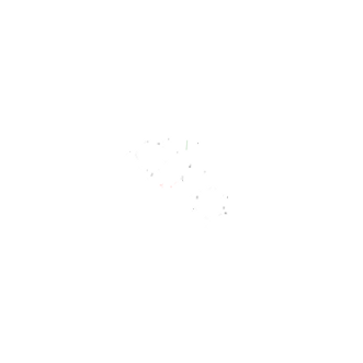 O=C(c1ccccc1)C(F)(CCI)c1ccccc1